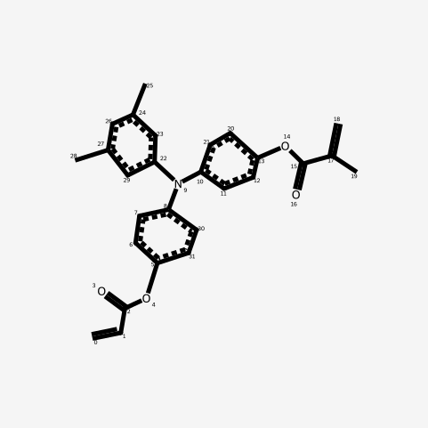 C=CC(=O)Oc1ccc(N(c2ccc(OC(=O)C(=C)C)cc2)c2cc(C)cc(C)c2)cc1